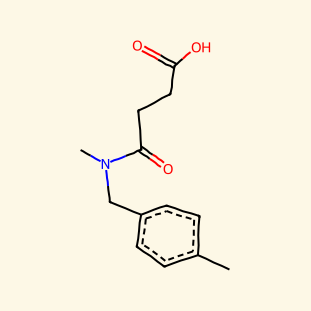 Cc1ccc(CN(C)C(=O)CCC(=O)O)cc1